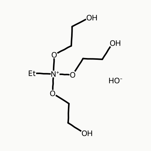 CC[N+](OCCO)(OCCO)OCCO.[OH-]